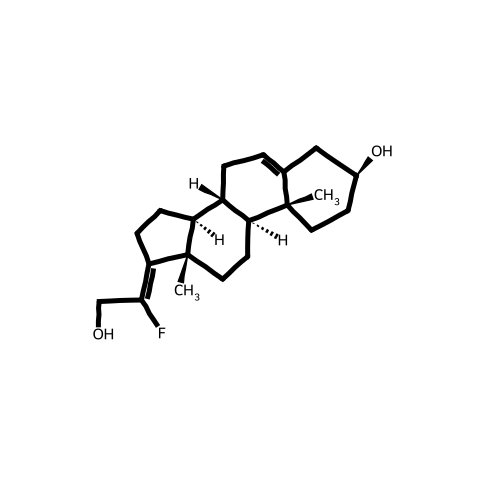 C[C@]12CC[C@H](O)CC1=CC[C@@H]1[C@@H]2CC[C@]2(C)/C(=C(\F)CO)CC[C@@H]12